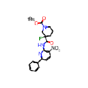 CC(C)(C)OC(=O)N1CCCC(F)(C(=O)Nc2nc(-c3ccccc3)ccc2[N+](=O)[O-])C1